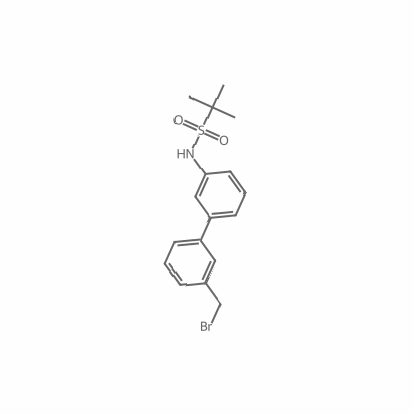 CC(C)(C)S(=O)(=O)Nc1cccc(-c2cccc(CBr)c2)c1